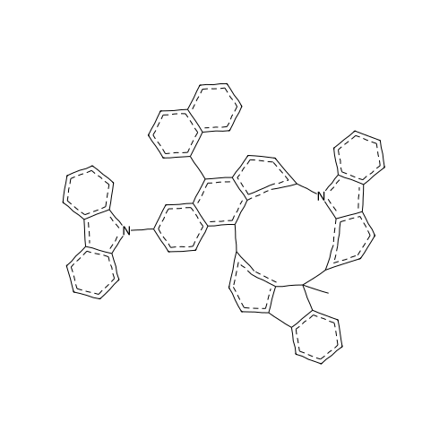 CC12c3ccc4c5ccccc5n(c4c3)-c3ccc4c(-c5cccc6ccccc56)c5cc(-n6c7ccccc7c7ccccc76)ccc5c(c4c3)-c3ccc(c1c3)-c1ccccc12